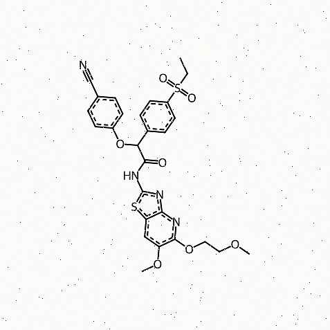 CCS(=O)(=O)c1ccc(C(Oc2ccc(C#N)cc2)C(=O)Nc2nc3nc(OCCOC)c(OC)cc3s2)cc1